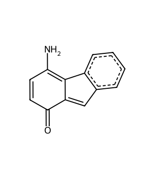 NC1=C2C(=Cc3ccccc32)C(=O)C=C1